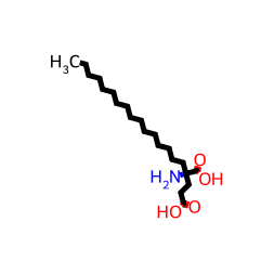 CCCCCCCCCCCCCCCCC(N)(CCC(=O)O)C(=O)O